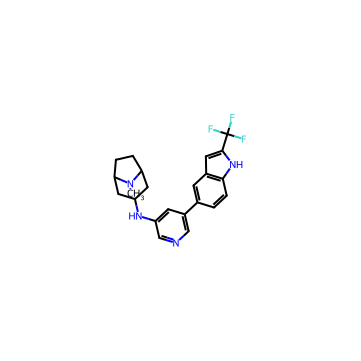 CN1C2CCC1CC(Nc1cncc(-c3ccc4[nH]c(C(F)(F)F)cc4c3)c1)C2